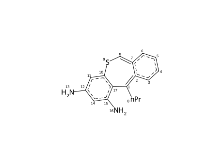 CCCC1=c2ccccc2=CSc2cc(N)cc(N)c21